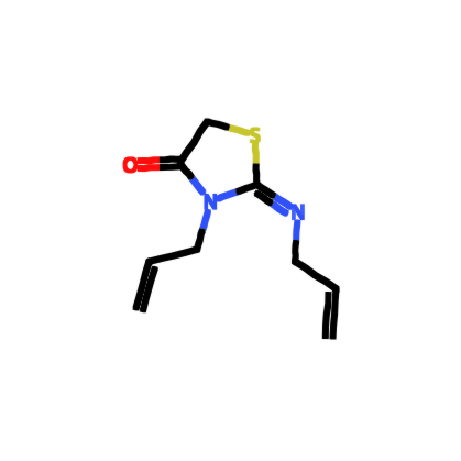 C=CCN=C1SCC(=O)N1CC=C